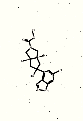 CC(C)OC(=O)N1C[C@@H]2CC(O)(c3cc(Cl)cc4[nH]ncc34)C[C@@H]2C1